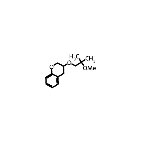 COC(C)(C)COC1COc2ccccc2C1